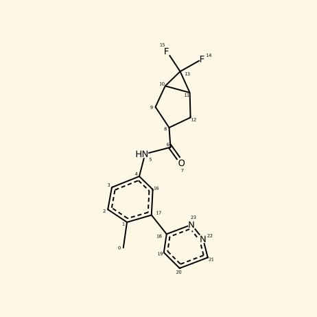 Cc1ccc(NC(=O)C2CC3C(C2)C3(F)F)cc1-c1cccnn1